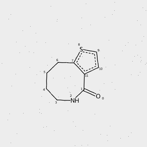 O=C1NCCCCc2sccc21